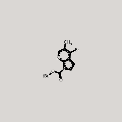 Cc1cnc2c(ccn2C(=O)OC(C)(C)C)c1Br